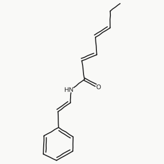 CC/C=C/C=C/C(=O)N/C=C/c1ccccc1